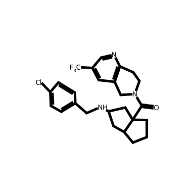 O=C(N1CCc2ncc(C(F)(F)F)cc2C1)C12CCCC1CC(NCc1ccc(Cl)cc1)C2